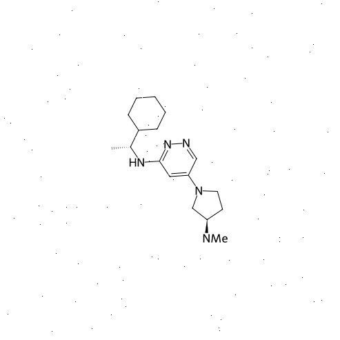 CN[C@@H]1CCN(c2cnnc(N[C@H](C)C3CCCCC3)c2)C1